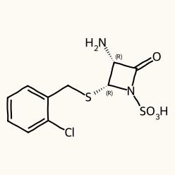 N[C@@H]1C(=O)N(S(=O)(=O)O)[C@@H]1SCc1ccccc1Cl